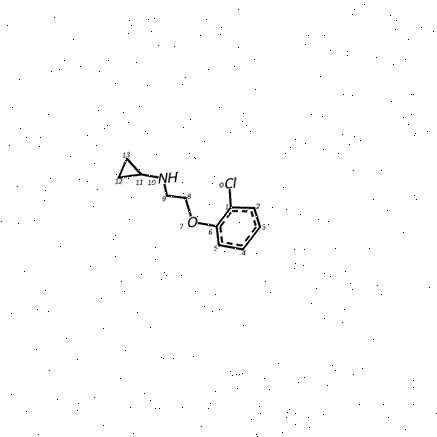 Clc1ccccc1OCCNC1CC1